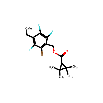 COCc1c(F)c(F)c(COC(=O)C2C(C)(C)C2(C)C)c(Br)c1F